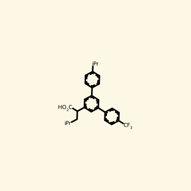 CC(C)CC(C(=O)O)c1cc(-c2ccc(C(C)C)cc2)cc(-c2ccc(C(F)(F)F)cc2)c1